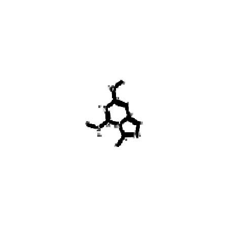 COc1cc2cnc(C)n2c(SC)n1